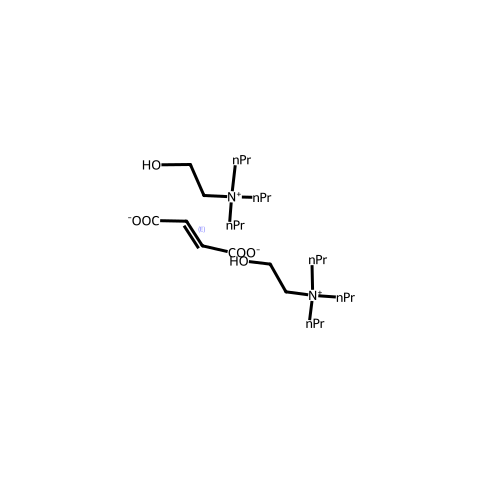 CCC[N+](CCC)(CCC)CCO.CCC[N+](CCC)(CCC)CCO.O=C([O-])/C=C/C(=O)[O-]